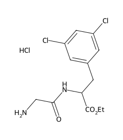 CCOC(=O)C(Cc1cc(Cl)cc(Cl)c1)NC(=O)CN.Cl